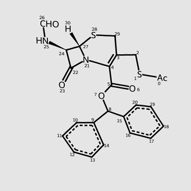 CC(=O)SCC1=C(C(=O)OC(c2ccccc2)c2ccccc2)N2C(=O)[C@@H](NC=O)[C@@H]2SC1